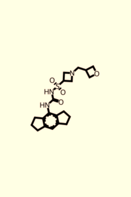 O=C(Nc1c2c(cc3c1CCC3)CCC2)NS(=O)(=O)C1CN(CC2COC2)C1